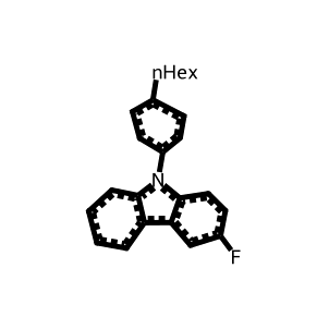 CCCCCCc1ccc(-n2c3ccccc3c3cc(F)ccc32)cc1